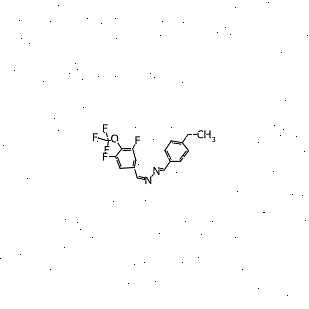 CCc1ccc(/C=N/N=C\c2cc(F)c(OC(F)(F)F)c(F)c2)cc1